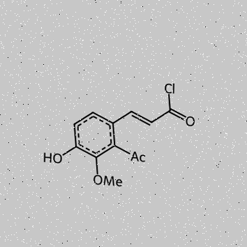 COc1c(O)ccc(C=CC(=O)Cl)c1C(C)=O